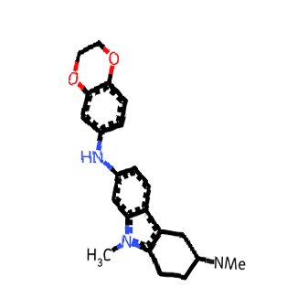 CNC1CCc2c(c3ccc(Nc4ccc5c(c4)OCCO5)cc3n2C)C1